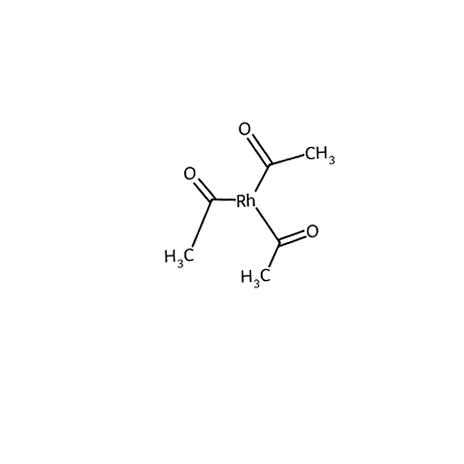 C[C](=O)[Rh]([C](C)=O)[C](C)=O